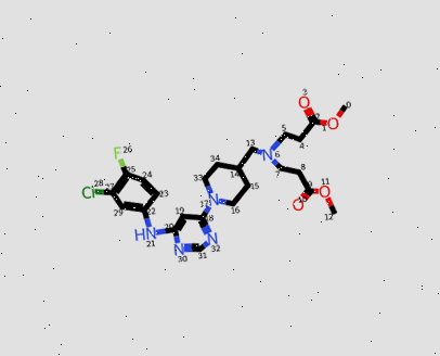 COC(=O)CCN(CCC(=O)OC)CC1CCN(c2cc(Nc3ccc(F)c(Cl)c3)ncn2)CC1